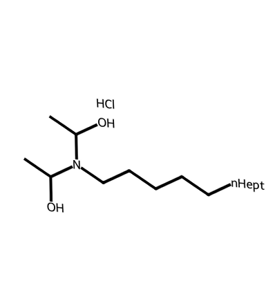 CCCCCCCCCCCCN(C(C)O)C(C)O.Cl